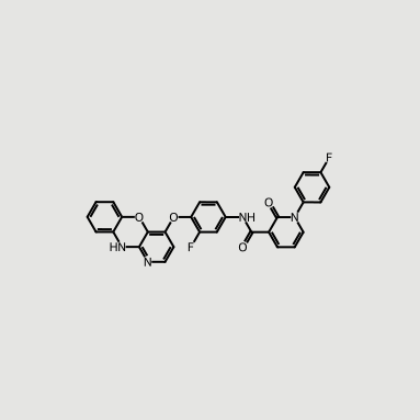 O=C(Nc1ccc(Oc2ccnc3c2Oc2ccccc2N3)c(F)c1)c1cccn(-c2ccc(F)cc2)c1=O